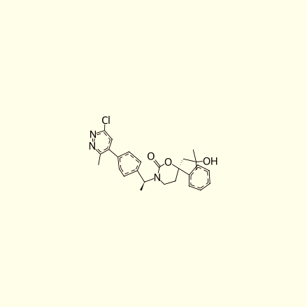 Cc1nnc(Cl)cc1-c1ccc([C@H](C)N2CC[C@](CC(C)(C)O)(c3ccccc3)OC2=O)cc1